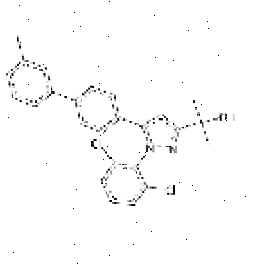 Cc1cccc(-c2ccc(-c3cc(C(C)(C)O)nn3-c3c(Cl)cccc3Cl)cc2)c1